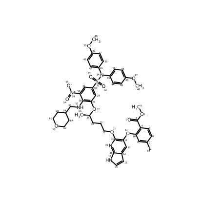 COC(=O)c1ccc(F)cc1Oc1cc2cc[nH]c2nc1OCCC[C@@H](C)Oc1cc(S(=O)(=O)N(c2ccc(OC)cc2)c2ccc(OC)cc2)cc([N+](=O)[O-])c1NCC1CCOCC1